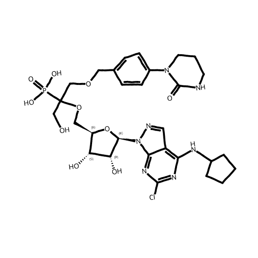 O=C1NCCCN1c1ccc(COCC(CO)(OC[C@H]2O[C@@H](n3ncc4c(NC5CCCC5)nc(Cl)nc43)[C@H](O)[C@@H]2O)P(=O)(O)O)cc1